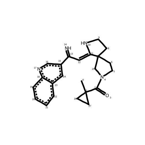 CC1(C(=O)N2CCC3(CCN/C3=C\C(=N)c3cnc4ccccc4c3)C2)CC1